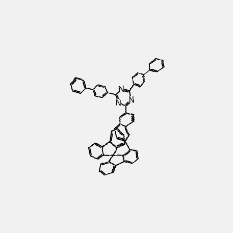 c1ccc(-c2ccc(-c3nc(-c4ccc(-c5ccccc5)cc4)nc(-c4ccc5cc(-c6cccc7c6C6(c8ccccc8-c8ccccc86)c6ccccc6-7)ccc5c4)n3)cc2)cc1